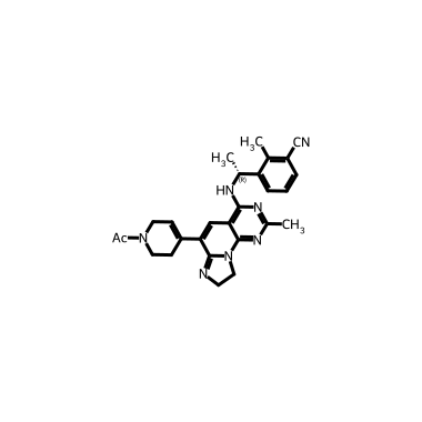 CC(=O)N1CC=C(C2=Cc3c(N[C@H](C)c4cccc(C#N)c4C)nc(C)nc3N3CCN=C23)CC1